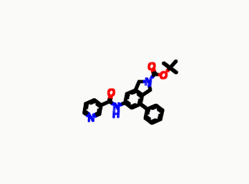 CC(C)(C)OC(=O)N1Cc2cc(NC(=O)c3cccnc3)cc(-c3ccccc3)c2C1